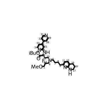 COC[C@@H](F)CN(CCCCc1ccc2c(n1)NCCC2)CC[C@H](Nc1cc(-c2ccncc2)ccn1)C(=O)OCC(C)C